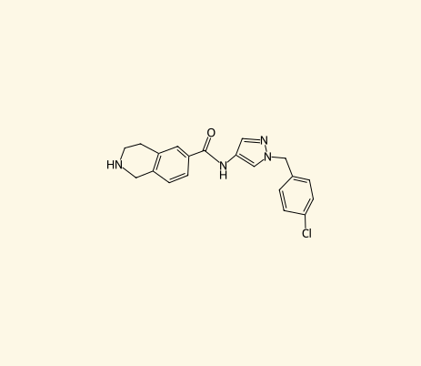 O=C(Nc1cnn(Cc2ccc(Cl)cc2)c1)c1ccc2c(c1)CCNC2